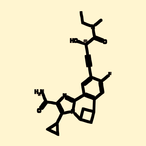 CCN(C)C(=O)[C@H](O)C#Cc1cc2c(cc1F)C1CC(C1)n1c-2nc(C(N)=O)c1C1CC1